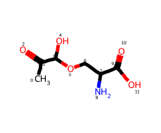 CC(=O)C(O)OCC(N)C(=O)O